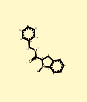 CN1c2ccccc2CC1C(=O)OCc1ccccc1